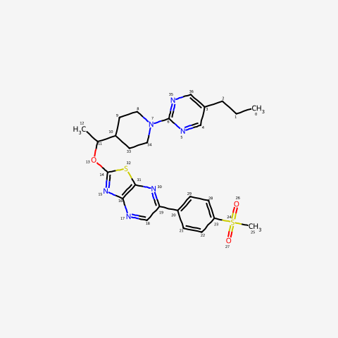 CCCc1cnc(N2CCC(C(C)Oc3nc4ncc(-c5ccc(S(C)(=O)=O)cc5)nc4s3)CC2)nc1